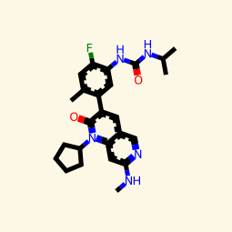 CNc1cc2c(cn1)cc(-c1cc(NC(=O)NC(C)C)c(F)cc1C)c(=O)n2C1CCCC1